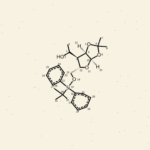 CC(O)[C@H]1[C@H]2OC(C)(C)O[C@H]2O[C@@H]1CO[Si](c1ccccc1)(c1ccccc1)C(C)(C)C